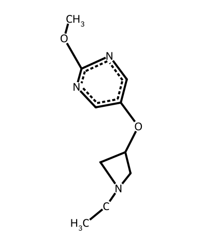 CCN1CC(Oc2cnc(OC)nc2)C1